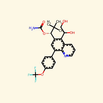 CC(C)(C)[C@@H](OC(N)=O)c1cc(-c2ccc(OC(F)(F)F)cc2)c2ncccc2c1C(O)CO